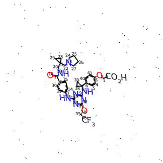 O=C(O)COc1ccc(C2(Nc3nc(Nc4ccc(C(=O)NCC5(CN6CCCC6)CC5)cc4)nc(OCC(F)(F)F)n3)CC2)cc1